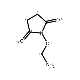 NCON1C(=O)CCC1=O